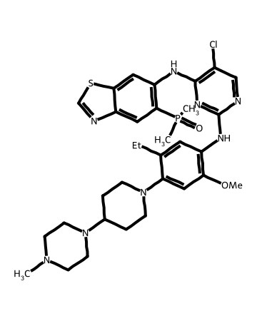 CCc1cc(Nc2ncc(Cl)c(Nc3cc4scnc4cc3P(C)(C)=O)n2)c(OC)cc1N1CCC(N2CCN(C)CC2)CC1